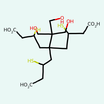 O=C(O)CC(S)CC(CC(S)CC(=O)O)(CC(S)CC(=O)O)C(CO)(CO)CO